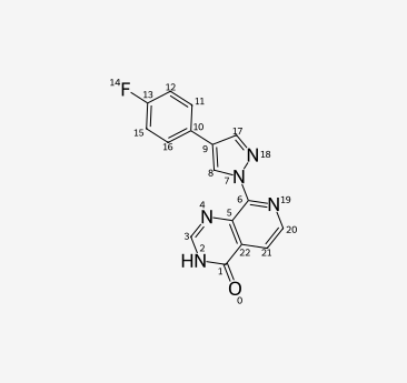 O=c1[nH]cnc2c(-n3cc(-c4ccc(F)cc4)cn3)nccc12